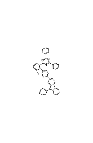 c1ccc(-c2nc(-c3ccccc3)nc(-c3cccc4oc5cc(-c6ccc7c8ccccc8n(-c8ccccc8)c7c6)ccc5c34)n2)cc1